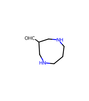 O=CC1CNCCCNC1